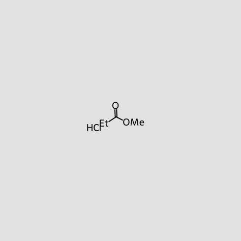 CCC(=O)OC.Cl